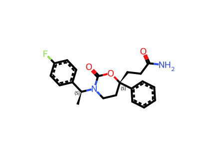 C[C@@H](c1ccc(F)cc1)N1CC[C@@](CCC(N)=O)(c2ccccc2)OC1=O